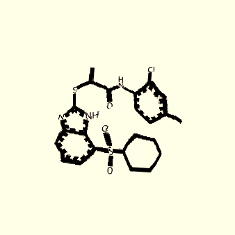 Cc1ccc(NC(=O)C(C)Sc2nc3cccc(S(=O)(=O)C4CCCCC4)c3[nH]2)c(Cl)c1